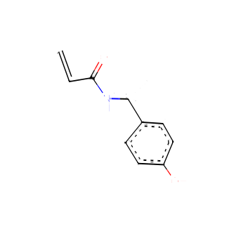 C=CC(=O)N[C@H](C)c1ccc(O)cc1